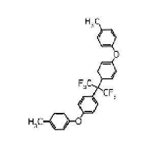 Cc1ccc(OC2=CCC(C(c3ccc(Oc4ccc(C)cc4)cc3)(C(F)(F)F)C(F)(F)F)C=C2)cc1